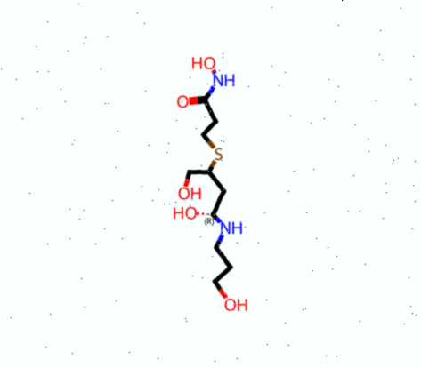 O=C(CCSC(CO)C[C@@H](O)NCCCO)NO